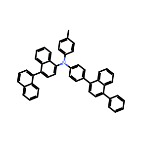 Cc1ccc(N(c2ccc(-c3ccc(-c4ccccc4)c4ccccc34)cc2)c2ccc(-c3cccc4ccccc34)c3ccccc23)cc1